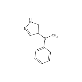 CN(c1ccccc1)c1cn[nH]c1